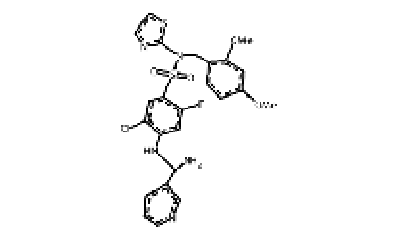 COc1ccc(CN(c2nccs2)S(=O)(=O)c2cc(Cl)c(N[C@@H](N)c3cccnc3)cc2F)c(OC)c1